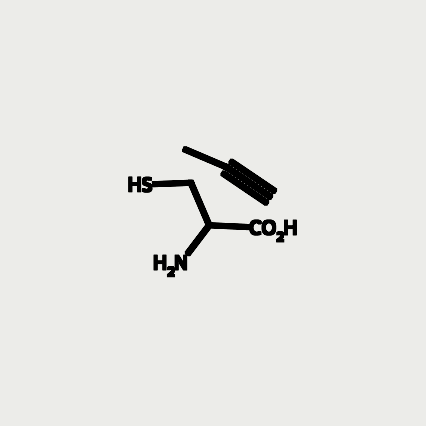 C#CC.NC(CS)C(=O)O